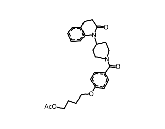 CC(=O)OCCCCOc1ccc(C(=O)N2CCC(N3C(=O)CCc4ccccc43)CC2)cc1